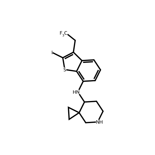 FC(F)(F)Cc1c(I)sc2c(NC3CCNCC34CC4)cccc12